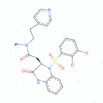 CC(C)N(CCc1ccncc1)C(=O)C[C@@H]1C(=O)Nc2ccccc2N1S(=O)(=O)c1cccc(Cl)c1Cl